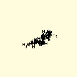 CCCC(=O)Nc1cncc(-c2cnc3[nH]nc(-c4cc5c(-c6cc(F)cc(C(N)S(C)(=O)=O)c6)nccc5[nH]4)c3c2)c1